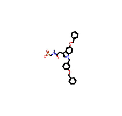 O=C(Cc1cn(Cc2cccc(OCc3ccccc3)c2)c2ccc(OCc3ccccc3)cc12)NC[SH](=O)=O